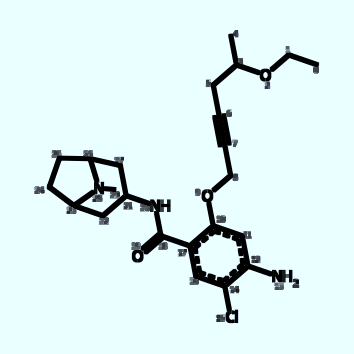 CCOC(C)CC#CCOc1cc(N)c(Cl)cc1C(=O)NC1CC2CCC(C1)N2C